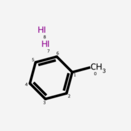 Cc1ccccc1.I.I